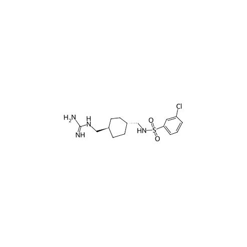 N=C(N)NC[C@H]1CC[C@H](CNS(=O)(=O)c2cccc(Cl)c2)CC1